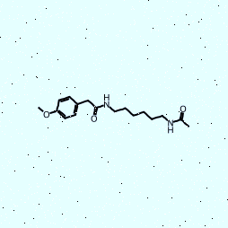 COc1ccc(CC(=O)NCCCCCCNC(C)=O)cc1